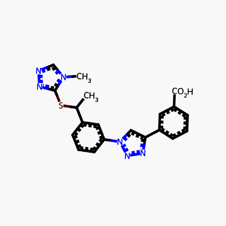 CC(Sc1nncn1C)c1cccc(-n2cc(-c3cccc(C(=O)O)c3)nn2)c1